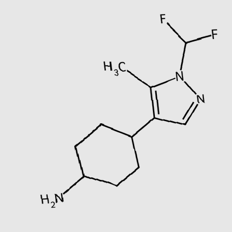 Cc1c(C2CCC(N)CC2)cnn1C(F)F